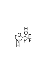 OC(C1CNCCO1)C(F)(F)F